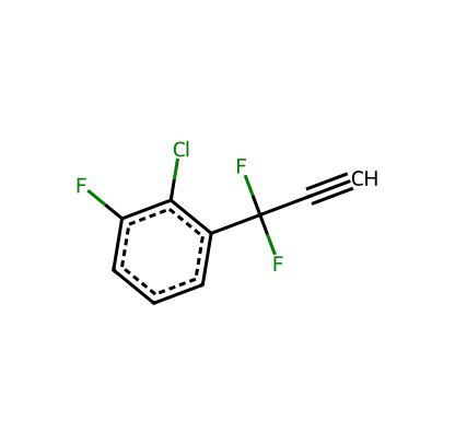 C#CC(F)(F)c1cccc(F)c1Cl